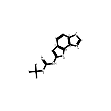 CC(C)(C)OC(=O)Nc1cc2ccc3scnc3c2s1